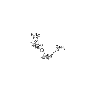 CC(C)[C@@H](N)C(=O)N[C@H](CCCNC(N)=O)C(=O)Nc1ccc(COP(=O)(O)OP(=O)(O)OCCCCCOC(N)=O)cc1